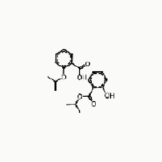 CC(C)OC(=O)c1ccccc1O.CC(C)Oc1ccccc1C(=O)O